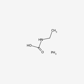 CCNC(=O)O.P